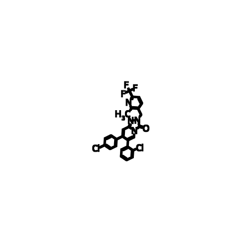 Cc1nc(C(F)(F)F)ccc1Cn1nc2cc(-c3ccc(Cl)cc3)c(-c3ccccc3Cl)cn2c1=O